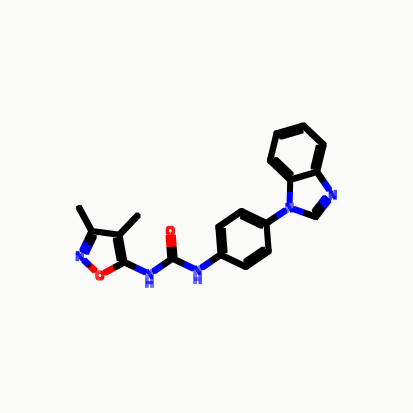 Cc1noc(NC(=O)Nc2ccc(-n3cnc4ccccc43)cc2)c1C